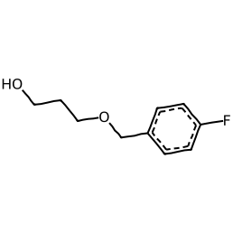 OCCCOCc1ccc(F)cc1